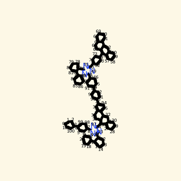 c1ccc(-c2ccc(-c3nc(-c4ccccc4-c4ccccc4)nc(-c4c5ccccc5cc5c4ccc4cc(-c6ccc(-c7ccc(-c8nc(-c9ccc(-c%10c%11ccccc%11cc%11c%10ccc%10ccccc%10%11)cc9)nc(-c9ccccc9-c9ccccc9)n8)cc7)cc6)ccc45)n3)cc2)cc1